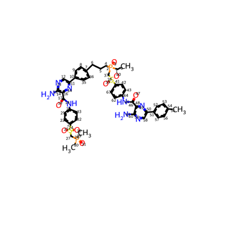 CCP(=O)(CCCc1ccc(-c2cnc(N)c(C(=O)Nc3ccc(S(=O)(=O)CP(C)(C)=O)cc3)n2)cc1)CS(=O)(=O)c1ccc(NC(=O)c2nc(-c3ccc(C)cc3)cnc2N)cc1